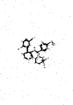 CCOc1ncc(C(=O)Nc2c(-c3cc(F)ccc3F)ccnc2[C@H]2CCC(F)(F)CO2)cn1